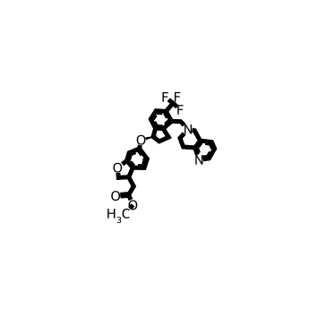 COC(=O)CC1COc2cc(O[C@@H]3CCc4c3ccc(C(F)(F)F)c4CN3CCc4ncccc4C3)ccc21